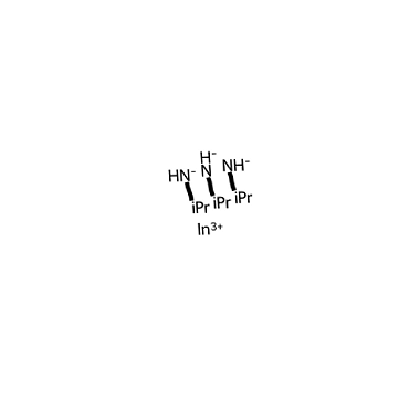 CC(C)[NH-].CC(C)[NH-].CC(C)[NH-].[In+3]